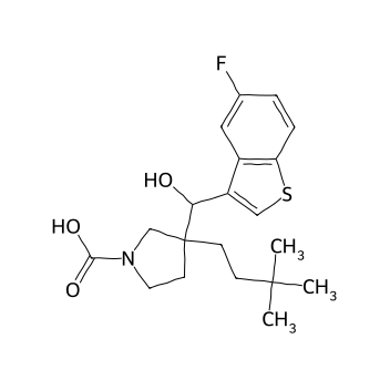 CC(C)(C)CCC1(C(O)c2csc3ccc(F)cc23)CCN(C(=O)O)C1